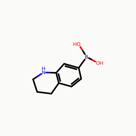 OB(O)c1ccc2c(c1)NCCC2